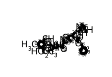 Cc1cc(C)c(S(=O)(=O)NC(CNC(=O)C2=NO[C@]3(C2)CC(CNc2ncc[nH]2)N(C(=O)OCc2ccccc2)C3)C(=O)O)c(C)c1